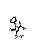 CCCC(C)C1=CC(=C(Br)Br)N(c2ccccc2)C1=O